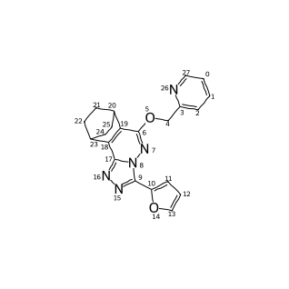 c1ccc(COc2nn3c(-c4ccco4)nnc3c3c2C2CCC3CC2)nc1